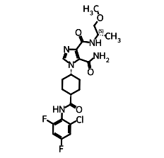 COC[C@H](C)NC(=O)c1ncn([C@H]2CC[C@H](C(=O)Nc3c(F)cc(F)cc3Cl)CC2)c1C(N)=O